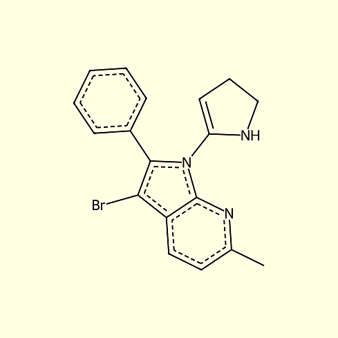 Cc1ccc2c(Br)c(-c3ccccc3)n(C3=CCCN3)c2n1